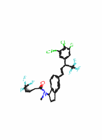 CN(C(=O)CC(F)(F)F)C1CCc2cc(/C=C/C(c3cc(Cl)c(Cl)c(Cl)c3)C(F)(F)F)ccc21